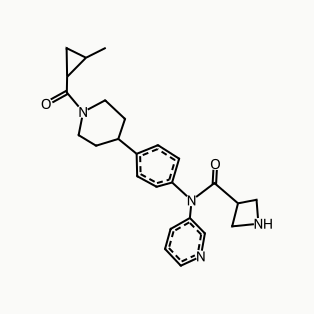 CC1CC1C(=O)N1CCC(c2ccc(N(C(=O)C3CNC3)c3cccnc3)cc2)CC1